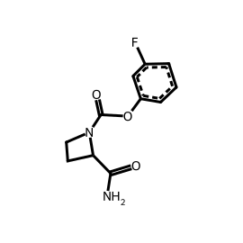 NC(=O)C1CCN1C(=O)Oc1cccc(F)c1